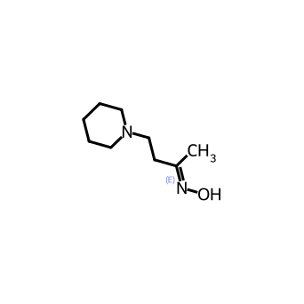 C/C(CCN1CCCCC1)=N\O